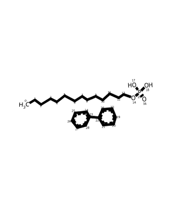 CCCCCCCCCCCCCCOP(=O)(O)O.c1ccc(-c2ccccc2)cc1